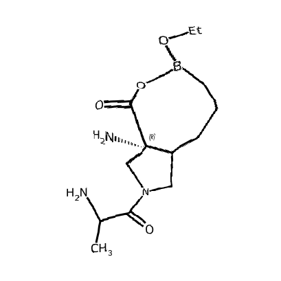 CCOB1CCCC2CN(C(=O)C(C)N)C[C@@]2(N)C(=O)O1